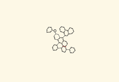 C1=CC(Oc2ccccc2)Cc2c1c(-c1ccccc1-c1ccc(-c3ccccc3)cc1)c1ccccc1c2-c1cc2ccccc2c2ccccc12